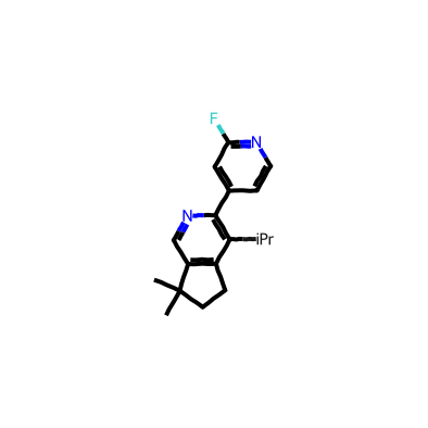 CC(C)c1c(-c2ccnc(F)c2)ncc2c1CCC2(C)C